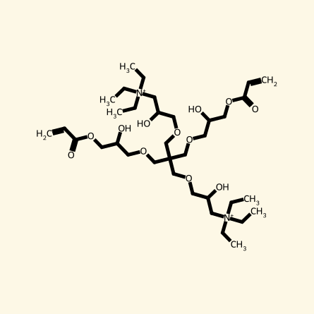 C=CC(=O)OCC(O)COCC(COCC(O)COC(=O)C=C)(COCC(O)C[N+](CC)(CC)CC)COCC(O)C[N+](CC)(CC)CC